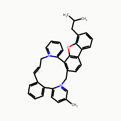 Cc1ccc2[n+](c1)Cc1ccc3c(oc4c(CC(C)C)cccc43)c1-c1cccc[n+]1C/C=C/c1ccccc1-2